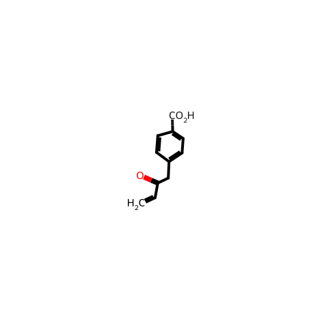 C=CC(=O)Cc1ccc(C(=O)O)cc1